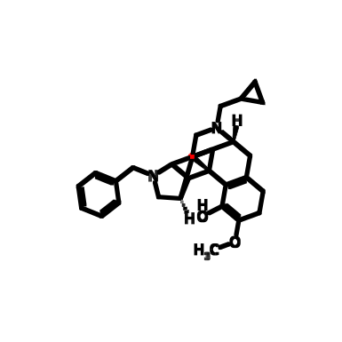 COC1=C(O)C2=C(CC1)C[C@H]1N(CC3CC3)CC[C@]23C2C4CCC13C[C@@H]2CN4Cc1ccccc1